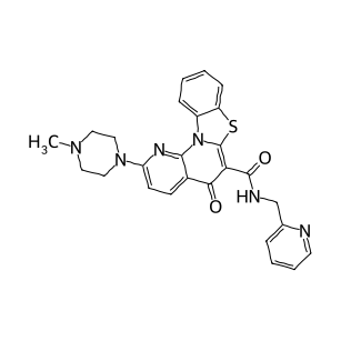 CN1CCN(c2ccc3c(=O)c(C(=O)NCc4ccccn4)c4sc5ccccc5n4c3n2)CC1